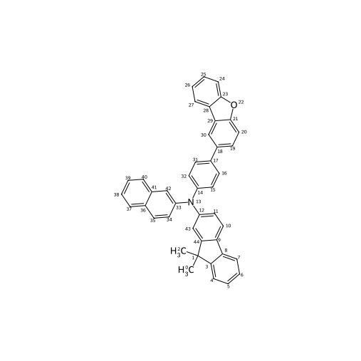 CC1(C)c2ccccc2-c2ccc(N(c3ccc(-c4ccc5oc6ccccc6c5c4)cc3)c3ccc4ccccc4c3)cc21